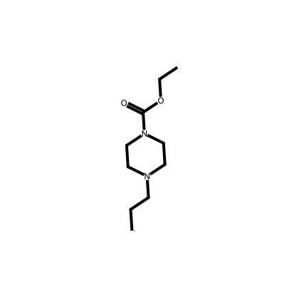 [CH2]CCN1CCN(C(=O)OCC)CC1